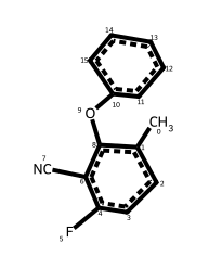 Cc1ccc(F)c(C#N)c1Oc1ccccc1